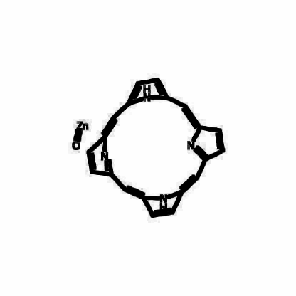 C1=Cc2cc3ccc(cc4nc(cc5ccc(cc1n2)[nH]5)C=C4)[nH]3.[O]=[Zn]